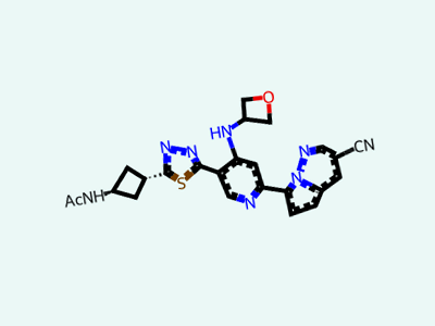 CC(=O)N[C@H]1C[C@H](c2nnc(-c3cnc(-c4ccc5cc(C#N)cnn45)cc3NC3COC3)s2)C1